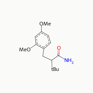 COc1ccc(CC(C(N)=O)C(C)(C)C)c(OC)c1